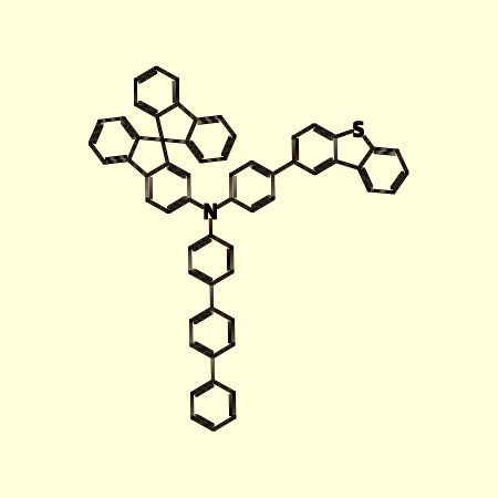 c1ccc(-c2ccc(-c3ccc(N(c4ccc(-c5ccc6sc7ccccc7c6c5)cc4)c4ccc5c(c4)C4(c6ccccc6-c6ccccc64)c4ccccc4-5)cc3)cc2)cc1